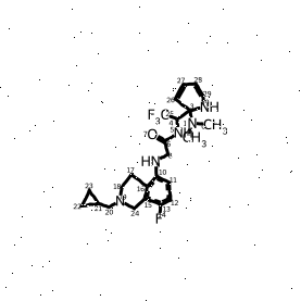 CN(C)C1(C(NC(=O)CNc2ccc(F)c3c2CCN(CC2CC2)C3)C(F)(F)F)C=CC=CN1